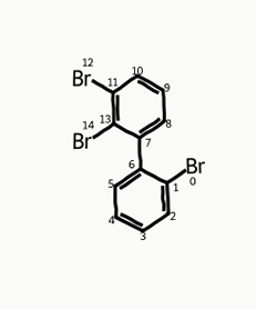 Brc1ccccc1-c1cccc(Br)c1Br